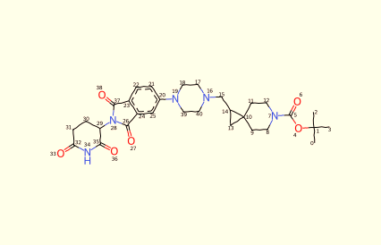 CC(C)(C)OC(=O)N1CCC2(CC1)CC2CN1CCN(c2ccc3c(c2)C(=O)N(C2CCC(=O)NC2=O)C3=O)CC1